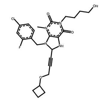 Cn1c2c(c(=O)n(CCCCO)c1=O)NC(C#CCOC1CCC1)N2Cc1ccc(Cl)cc1F